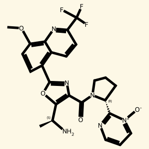 COc1ccc(-c2nc(C(=O)N3CCC[C@@H]3c3nccc[n+]3[O-])c([C@H](C)N)o2)c2ccc(C(F)(F)F)nc12